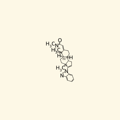 CN1CC[C@@]2(C)C(=CC1=O)CC[C@H]1C3CC=C(n4cnc5ccccc54)[C@@]3(C)CC[C@@H]12